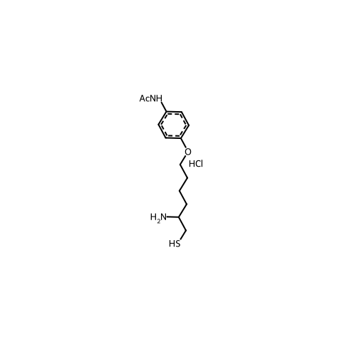 CC(=O)Nc1ccc(OCCCCC(N)CS)cc1.Cl